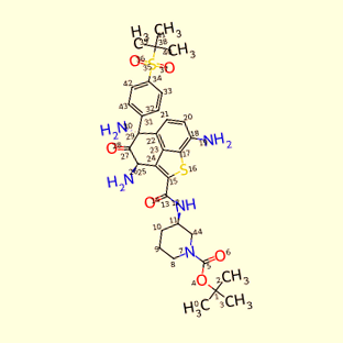 CC(C)(C)OC(=O)N1CCC[C@@H](NC(=O)c2sc3c(N)ccc4c3c2[C@@H](N)C(=O)[C@@]4(N)c2ccc(S(=O)(=O)C(C)(C)C)cc2)C1